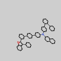 c1ccc(-c2ccccc2-c2ccc(N(c3ccc(-c4ccc(-c5cccc(-c6oc7ccccc7c6-c6ccccc6)c5)cc4)cc3)c3ccc4ccccc4c3)cc2)cc1